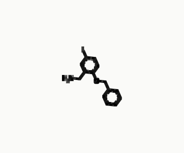 NCc1cc(I)ccc1OCc1ccccc1